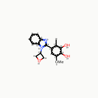 COc1cc(-c2nc3ccccc3n2C2COC2)c(C)c(O)c1O